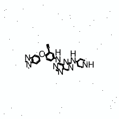 C#Cc1cc(Nc2ncnc3cnc(NC4CCNCC4)nc23)ccc1Oc1ccc2c(c1)ncn2C